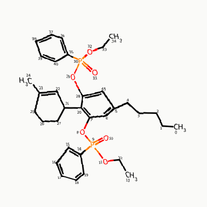 CCCCCc1cc(OP(=O)(OCC)c2ccccc2)c(C2C=C(C)CCC2)c(OP(=O)(OCC)c2ccccc2)c1